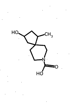 CC1CC(O)CC12CCN(C(=O)O)CC2